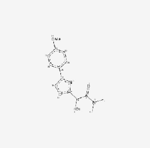 CCCCC(C(=O)N(C)C)c1nc(-c2ccc(OC)cc2)co1